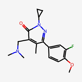 COc1ccc(-c2nn(C3CC3)c(=O)c(CN(C)C)c2C)cc1F